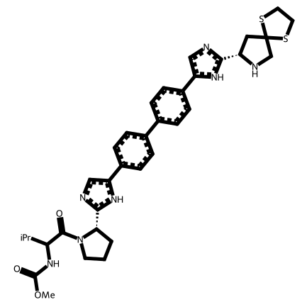 COC(=O)NC(C(=O)N1CCC[C@H]1c1ncc(-c2ccc(-c3ccc(-c4cnc([C@@H]5CC6(CN5)SCCS6)[nH]4)cc3)cc2)[nH]1)C(C)C